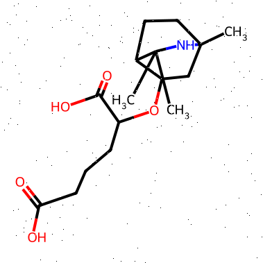 CC12CCC(C(OC(CCCC(=O)O)C(=O)O)C1)C(C)(C)N2